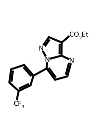 CCOC(=O)c1cnn2c(-c3cccc(C(F)(F)F)c3)ccnc12